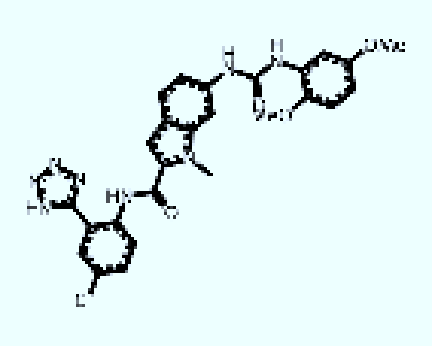 COc1ccc(OC)c(NC(=O)Nc2ccc3cc(C(=O)Nc4ccc(Cl)cc4-c4nnn[nH]4)n(C)c3c2)c1